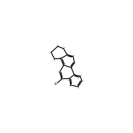 Brc1cc2c3c(ccc2c2ccccc12)CCCC3